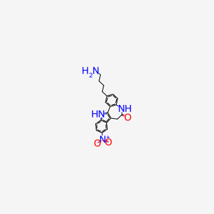 NCCCCc1ccc2c(c1)-c1[nH]c3ccc([N+](=O)[O-])cc3c1CC(=O)N2